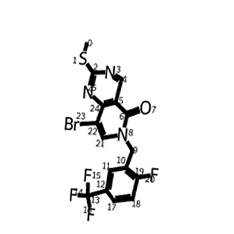 CSc1ncc2c(=O)n(Cc3cc(C(F)(F)F)ccc3F)cc(Br)c2n1